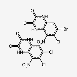 O=c1[nH]c2cc(Br)c(Cl)c([N+](=O)[O-])c2[nH]c1=O.O=c1[nH]c2cc(Cl)c(Cl)c([N+](=O)[O-])c2[nH]c1=O